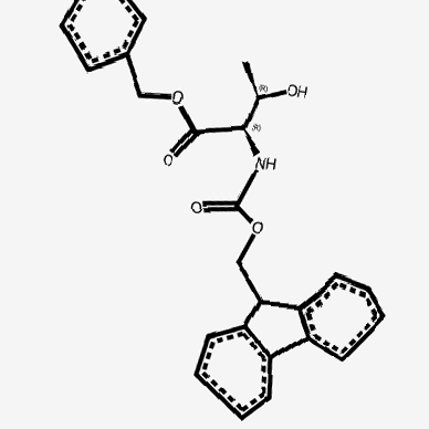 C[C@@H](O)[C@@H](NC(=O)OCC1c2ccccc2-c2ccccc21)C(=O)OCc1ccccc1